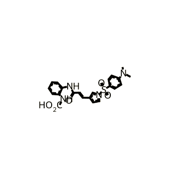 CN(C)c1ccc(S(=O)(=O)n2ccc(C=CC(=O)Nc3ccccc3NC(=O)O)c2)cc1